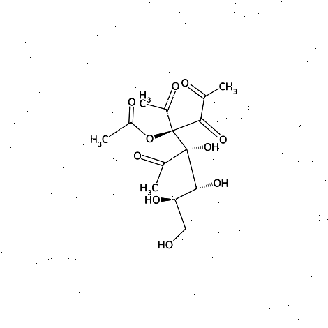 CC(=O)O[C@@](C(C)=O)(C(=O)C(C)=O)[C@](O)(C(C)=O)[C@H](O)[C@H](O)CO